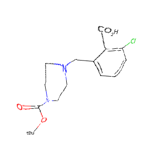 CC(C)(C)OC(=O)N1CCN(Cc2cccc(Cl)c2C(=O)O)CC1